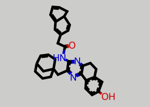 O=C(CC1=CC2=CC=CCC2C=C1)Nc1nc2c(nc1CC13CC=CC(CCC1)C3)-c1ccc(O)cc1CC2